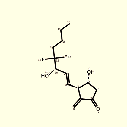 C=C1C(=O)C[C@@H](O)[C@@H]1C=C[C@H](O)C(F)(F)CCCC